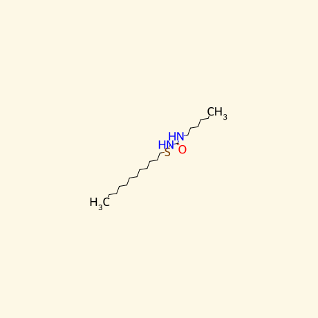 CCCCCCCCCCCCSNC(=O)NCCCCCC